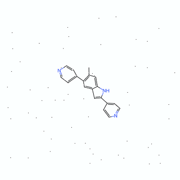 Cc1cc2[nH]c(-c3ccncc3)cc2cc1-c1ccncc1